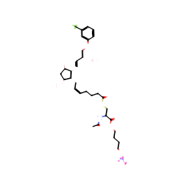 CC(=O)NC(CSC(=O)CCC/C=C\C[C@@H]1[C@@H](/C=C/[C@@H](O)COc2cccc(C(F)(F)F)c2)[C@H](O)C[C@@H]1O)C(=O)OCCCCO[N+](=O)[O-]